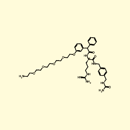 N=C(N)NCCC[C@@H](NC(=O)C(c1ccccc1)c1cccc(OCCOCCOCCOCCOCCN)c1)C(=O)NCc1ccc(CNC(N)=O)cc1